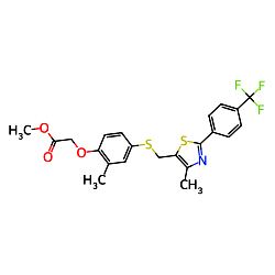 COC(=O)COc1ccc(SCc2sc(-c3ccc(C(F)(F)F)cc3)nc2C)cc1C